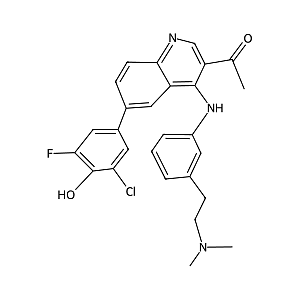 CC(=O)c1cnc2ccc(-c3cc(F)c(O)c(Cl)c3)cc2c1Nc1cccc(CCN(C)C)c1